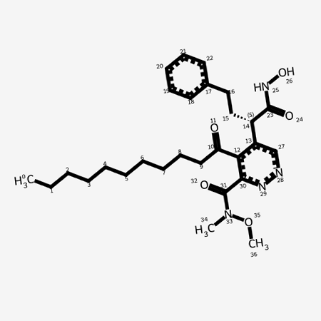 CCCCCCCCCCC(=O)c1c([C@H](CCc2ccccc2)C(=O)NO)cnnc1C(=O)N(C)OC